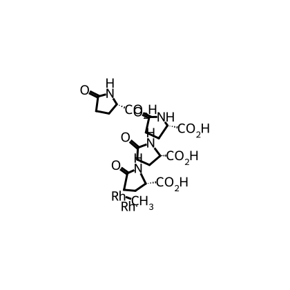 O=C1CC[C@@H](C(=O)O)N1.O=C1CC[C@@H](C(=O)O)N1.O=C1CC[C@@H](C(=O)O)N1.O=C1CC[C@@H](C(=O)O)N1.[CH3][Rh].[Rh]